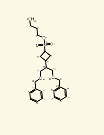 CCCCOS(=O)(=O)C1CC(C(COCc2ccccc2)COCc2ccccc2)C1